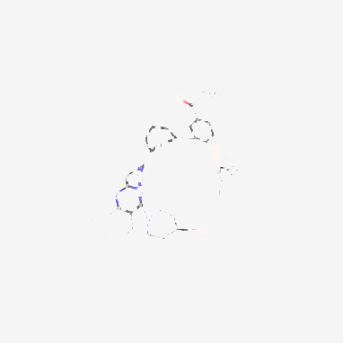 CCOC(=O)Cc1c(C)nc2cc3nn2c1N1CCC(C)(CC1)OCCCC[C@H](C)Oc1ccc(C(=O)OC)cc1-c1cccc-3c1